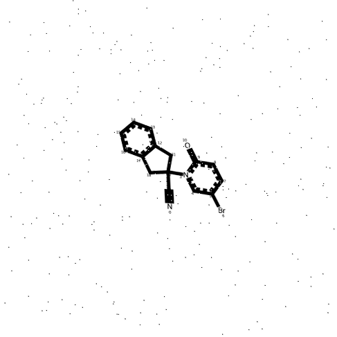 N#CC1(n2cc(Br)ccc2=O)Cc2ccccc2C1